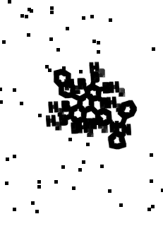 Bc1c(B)c(B)c2c(-c3ccc4ccccc4c3)c3c(B)c(B)c(B)c(B)c3c(-c3ccc(-n4c(-c5ccccc5)nc5ccccc54)cc3)c2c1B